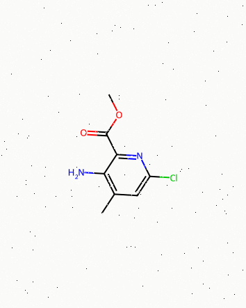 COC(=O)c1nc(Cl)cc(C)c1N